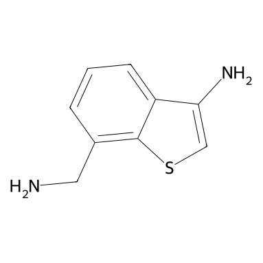 NCc1cccc2c(N)csc12